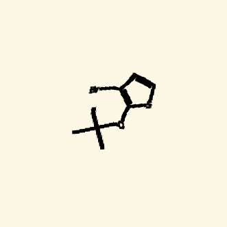 CC(C)(C)Oc1sccc1Br